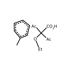 CCOC(C(C)=O)(C(C)=O)C(=O)O.Cc1ccccc1